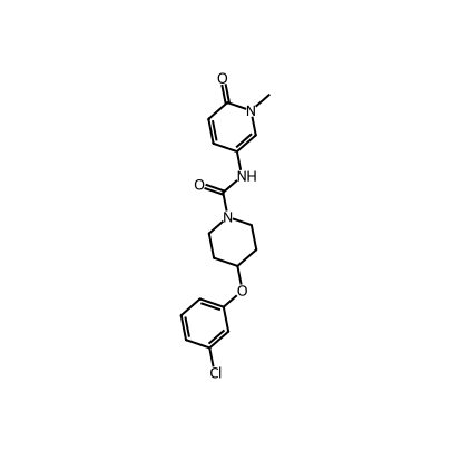 Cn1cc(NC(=O)N2CCC(Oc3cccc(Cl)c3)CC2)ccc1=O